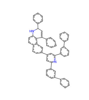 C1=C(c2ccccc2)c2c(ccc3ccc(-c4cc(-c5cccc(-c6ccccc6)c5)nc(-c5cccc(-c6ccccc6)c5)c4)cc23)NC1c1ccccc1